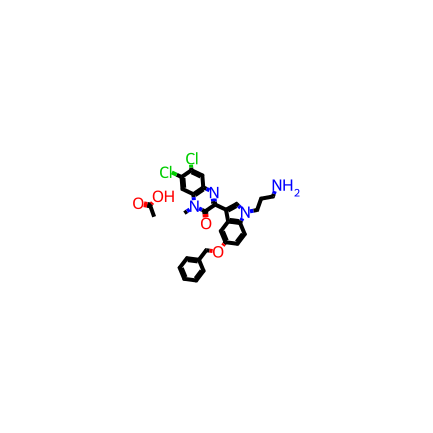 CC(=O)O.Cn1c(=O)c(-c2cn(CCCN)c3ccc(OCc4ccccc4)cc23)nc2cc(Cl)c(Cl)cc21